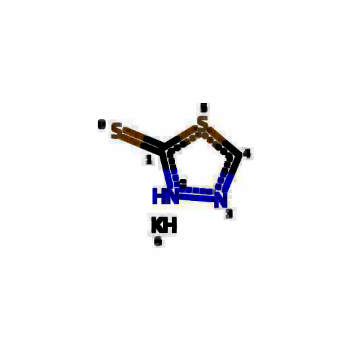 S=c1[nH]ncs1.[KH]